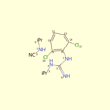 CC(C)NC#N.CC(C)NC(=N)Nc1c(Cl)cccc1Cl